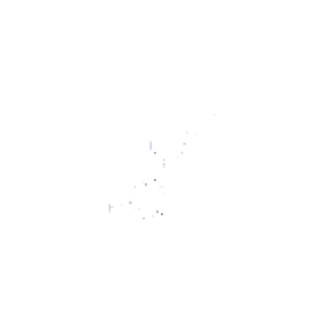 NC(=O)OC[C@H](N)c1cccc(Cl)c1